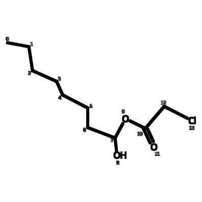 CCCCCCCC(O)OC(=O)CCl